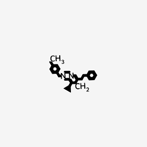 C=C1C(CCc2ccccc2)=CN2CCN(Cc3ccc(CC)cc3)CC2=C1C1CC1